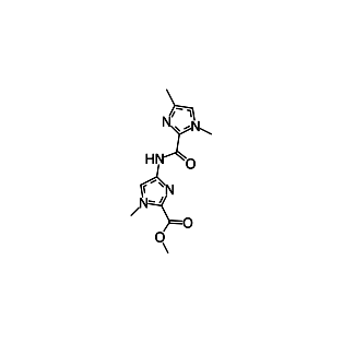 COC(=O)c1nc(NC(=O)c2nc(C)cn2C)cn1C